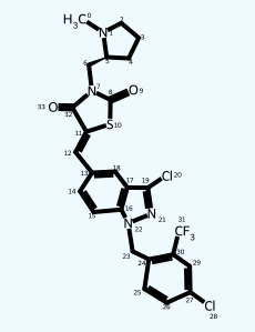 CN1CCC[C@H]1CN1C(=O)SC(=Cc2ccc3c(c2)c(Cl)nn3Cc2ccc(Cl)cc2C(F)(F)F)C1=O